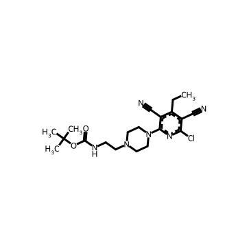 CCc1c(C#N)c(Cl)nc(N2CCN(CCNC(=O)OC(C)(C)C)CC2)c1C#N